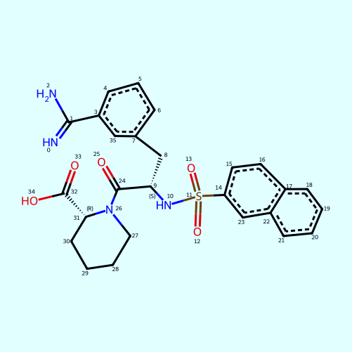 N=C(N)c1cccc(C[C@H](NS(=O)(=O)c2ccc3ccccc3c2)C(=O)N2CCCC[C@@H]2C(=O)O)c1